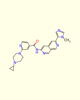 Cn1cncc1-c1cc2cc(NC(=O)c3ccnc(N4CCN(C5CC5)CC4)c3)ncc2cn1